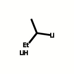 [LiH].[Li][CH](C)CC